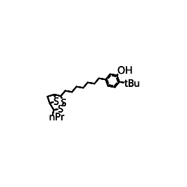 CCCC1SSC(CCCCCCCc2ccc(C(C)(C)C)c(O)c2)C2CC1S2